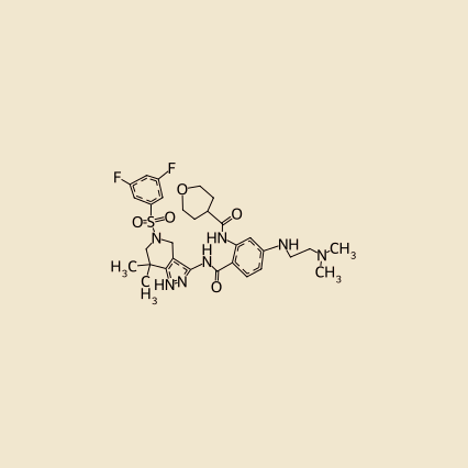 CN(C)CCNc1ccc(C(=O)Nc2n[nH]c3c2CN(S(=O)(=O)c2cc(F)cc(F)c2)CC3(C)C)c(NC(=O)C2CCOCC2)c1